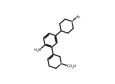 CC(=O)N1CCC(c2ccc(N)c(C3=CCCN(C(=O)O)C3)c2)CC1